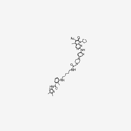 CC(=O)c1c(C)c2cnc(Nc3ccc(N4CCN(CC(=O)NCCCCCNc5cccc(C(=O)Nc6nc(C)c(C)s6)c5C)CC4)cn3)nc2n(C2CCCC2)c1=O